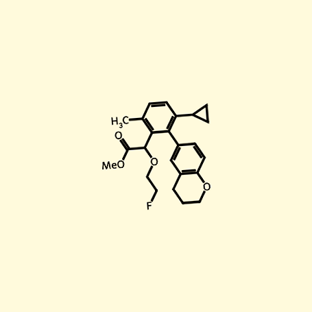 COC(=O)C(OCCF)c1c(C)ccc(C2CC2)c1-c1ccc2c(c1)CCCO2